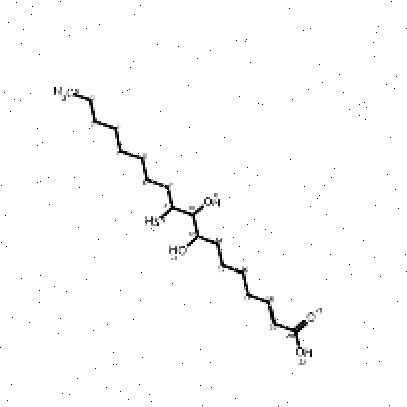 CCCCCCCCC(S)C(O)C(O)CCCCCCC(=O)O